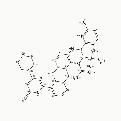 Cc1cccc(C(Nc2ccc3c(c2)Cc2cccc(-c4cc(N5CCOCC5)cc(=O)[nH]4)c2O3)C(OC(N)=O)C(C)(C)C)n1